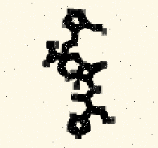 Cn1nnnc1SCC1(C(=O)O)CS[C@@H]2C(NC(=O)C(=NO)c3cnsn3)C(=O)N2C1